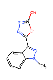 Cn1nc(-c2nnc(O)o2)c2ccccc21